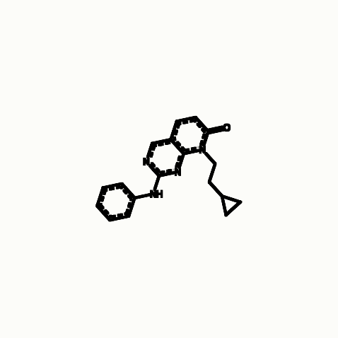 O=c1ccc2cnc(Nc3ccccc3)nc2n1CCC1CC1